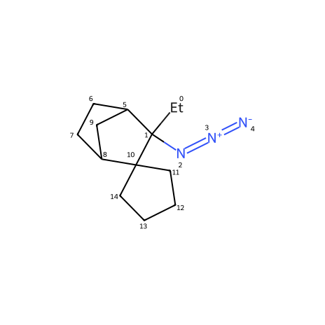 CCC1(N=[N+]=[N-])C2CCC(C2)C12CCCC2